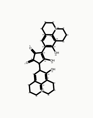 O=C1C(=O)C(C2C=C3CCC[N+]4=C3C(=C2O)CCC4)C(O)=C1c1cc2c3c(c1O)CCCN3CCC2